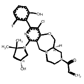 C=CC(=O)N1CCN2Cc3c(N4C[C@H](O)CC4(C)C)nc(-c4c(O)cccc4F)c(Cl)c3OC[C@H]2C1